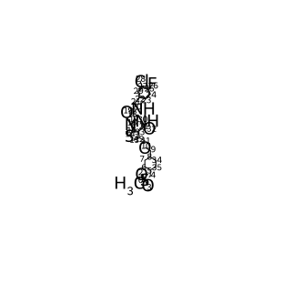 CS(=O)(=O)CC1CCC(COCc2csc3nc(C(=O)NCc4ccc(F)c(Cl)c4)[nH]c(=O)c23)CC1